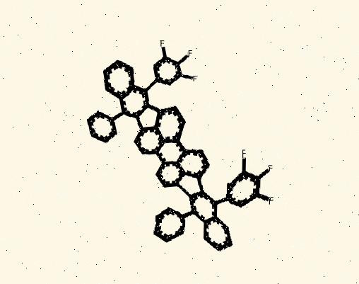 Fc1cc(-c2c3c(c(-c4ccccc4)c4ccccc24)-c2ccc4c5ccc6c7c(ccc(c8ccc-3c2c48)c75)-c2c-6c(-c3ccccc3)c3ccccc3c2-c2cc(F)c(F)c(F)c2)cc(F)c1F